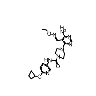 CCO/N=C/c1c(N)ncnc1N1CCN(C(=O)Nc2ccc(OC3CCC3)nc2)CC1